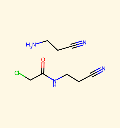 N#CCCN.N#CCCNC(=O)CCl